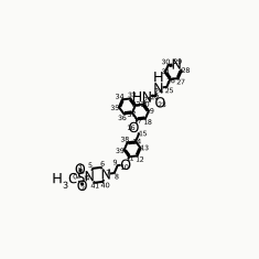 CS(=O)(=O)N1CCN(CCOc2ccc(COc3ccc(NC(=O)NCc4ccncc4)c4ccccc34)cc2)CC1